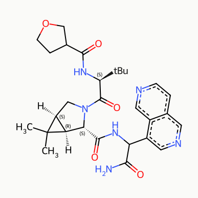 CC(C)(C)[C@H](NC(=O)C1CCOC1)C(=O)N1C[C@H]2[C@@H]([C@H]1C(=O)NC(C(N)=O)c1cncc3ccncc13)C2(C)C